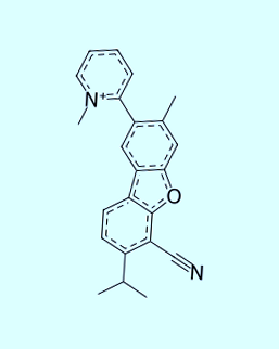 Cc1cc2oc3c(C#N)c(C(C)C)ccc3c2cc1-c1cccc[n+]1C